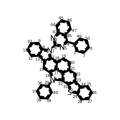 c1ccc(-c2nc(-n3c4ccccc4c4cc5c6c(ccc7cc8c9ccccc9sc8c(c76)n5-c5ccccc5)c43)nc3ccccc23)cc1